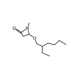 CCCCC(CC)COC1CC(=O)N1C